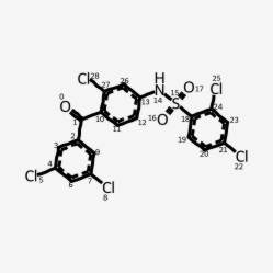 O=C(c1cc(Cl)cc(Cl)c1)c1ccc(NS(=O)(=O)c2ccc(Cl)cc2Cl)cc1Cl